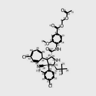 COc1cc(C(=O)OCOC(C)=O)ccc1NC(=O)[C@@H]1N[C@@H](CC(C)(C)C)[C@](C#N)(c2ccc(Cl)cc2F)C1C1C#CC(Cl)=CC=C1